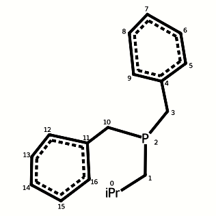 CC(C)CP(Cc1ccccc1)Cc1ccccc1